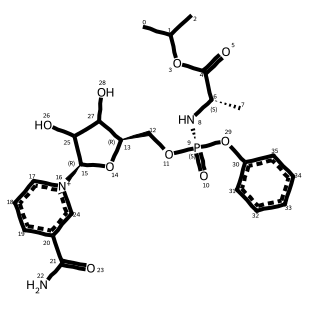 CC(C)OC(=O)[C@H](C)N[P@](=O)(OC[C@H]1O[C@@H]([n+]2cccc(C(N)=O)c2)C(O)C1O)Oc1ccccc1